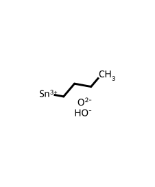 CCC[CH2][Sn+3].[O-2].[OH-]